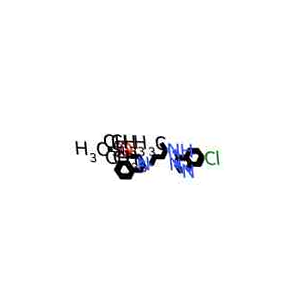 CC(CCCN(CCO[Si](C)(C)C(C)(C)C)Cc1ccccc1)Nc1ncnc2cc(Cl)ccc12